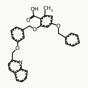 Cc1cc(OCc2ccccc2)cc(OCc2cccc(OCc3ccc4ccccc4n3)c2)c1C(=O)O